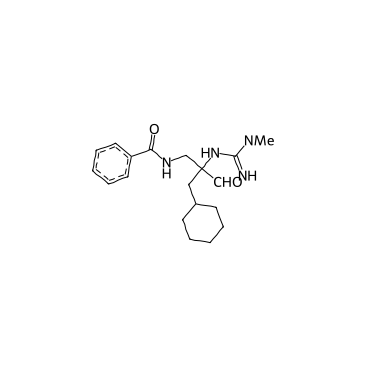 CNC(=N)NC(C=O)(CNC(=O)c1ccccc1)CC1CCCCC1